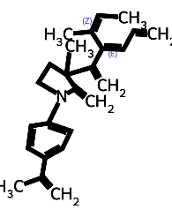 C=C/C=C(C(=C)C1(C)CCN(c2ccc(C(=C)C)cc2)C1=C)\C(C)=C/C